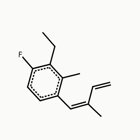 C=C/C(C)=C\c1ccc(F)c(CC)c1C